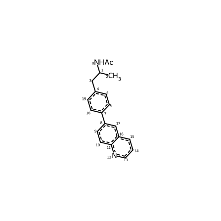 CC(=O)NC(C)Cc1ccc(-c2ccc3ncccc3c2)cc1